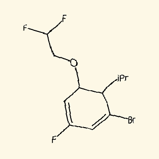 CC(C)C1C(Br)=CC(F)=CC1OCC(F)F